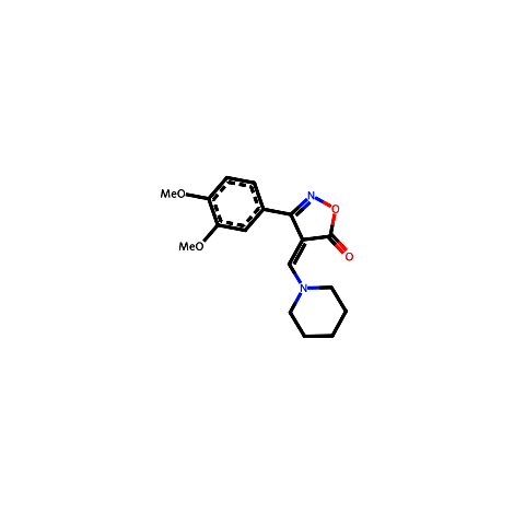 COc1ccc(C2=NOC(=O)C2=CN2CCCCC2)cc1OC